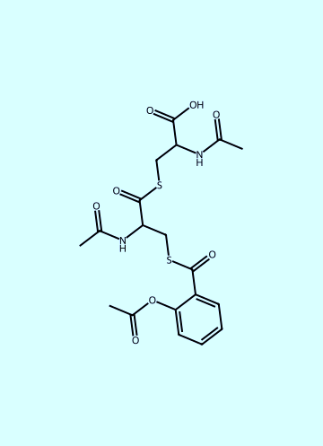 CC(=O)NC(CSC(=O)C(CSC(=O)c1ccccc1OC(C)=O)NC(C)=O)C(=O)O